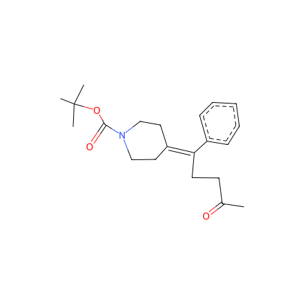 CC(=O)CCC(=C1CCN(C(=O)OC(C)(C)C)CC1)c1ccccc1